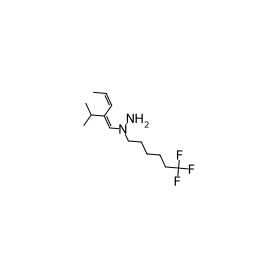 C/C=C\C(=C/N(N)CCCCCC(F)(F)F)C(C)C